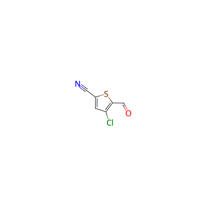 N#Cc1cc(Cl)c(C=O)s1